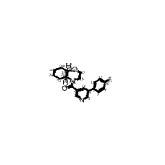 O=C(c1cncc(-c2ccc(F)cc2)c1)N1CCO[C@@H]2CCCC[C@H]21